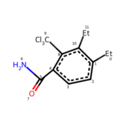 CCc1ccc(C(N)=O)c(C(Cl)(Cl)Cl)c1CC